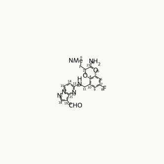 CNCC(Oc1ccc(F)cc1CNc1ccn2ncc(C=O)c2n1)C(N)=O